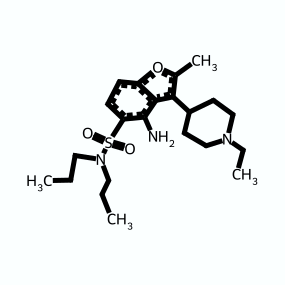 CCCN(CCC)S(=O)(=O)c1ccc2oc(C)c(C3CCN(CC)CC3)c2c1N